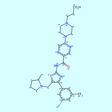 CC1CCCN1Cc1sc(NC(=O)c2cnc(N3CCN(CCC(=O)O)CC3)cn2)nc1-c1cc(F)cc(C(F)(F)F)c1